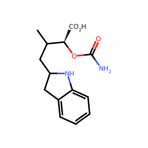 CC(CC1Cc2ccccc2N1)[C@H](OC(N)=O)C(=O)O